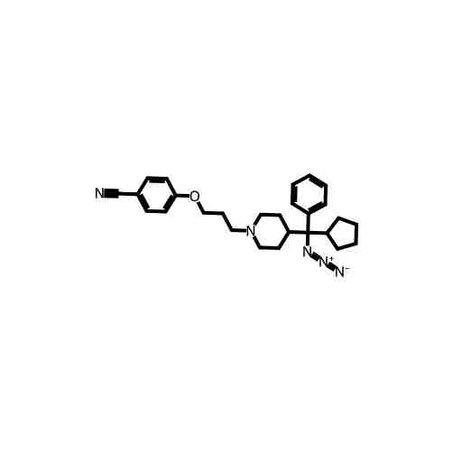 N#Cc1ccc(OCCCN2CCC(C(N=[N+]=[N-])(c3ccccc3)C3CCCC3)CC2)cc1